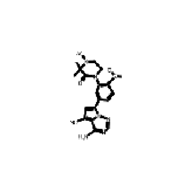 CC(=O)N1CCN(c2cc(-c3cc(C#N)c4c(N)ncnn34)ccc2[S+](C)[O-])C(=O)C1(C)C